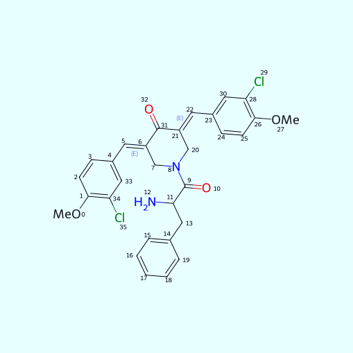 COc1ccc(/C=C2\CN(C(=O)C(N)Cc3ccccc3)C/C(=C\c3ccc(OC)c(Cl)c3)C2=O)cc1Cl